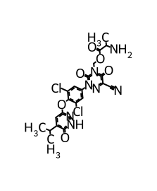 CC(N)C(=O)OCn1c(=O)c(C#N)nn(-c2cc(Cl)c(Oc3cc(C(C)C)c(=O)[nH]n3)c(Cl)c2)c1=O